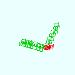 CO.CO.CO.CO.CO.ClCCl.ClCCl.ClCCl.ClCCl.ClCCl.ClCCl.ClCCl.ClCCl.ClCCl.ClCCl.ClCCl.ClCCl.ClCCl.ClCCl.ClCCl.ClCCl.ClCCl.ClCCl.ClCCl